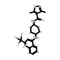 Cc1noc(C)c1C(=O)NC1CCC(Nc2cc(C(F)(F)F)nc3ccccc23)CC1